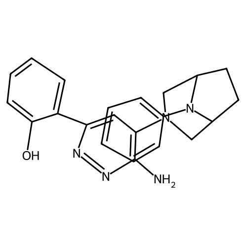 Nc1nnc(-c2ccccc2O)cc1N1CC2CCC(C1)N2c1ccccc1